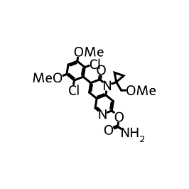 COCC1(n2c(=O)c(-c3c(Cl)c(OC)cc(OC)c3Cl)cc3cnc(OC(N)=O)cc32)CC1